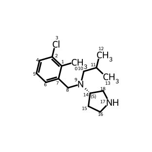 Cc1c(Cl)cccc1CN(CC(C)C)[C@H]1CCNC1